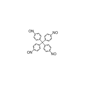 O=Nc1ccc(C(c2ccc(N=O)cc2)(c2ccc(N=O)cc2)c2ccc(N=O)cc2)cc1